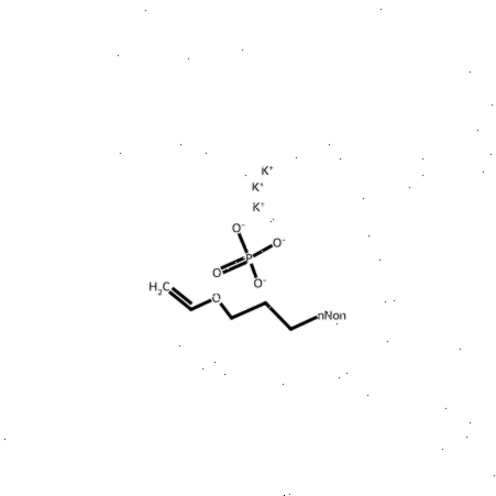 C=COCCCCCCCCCCCC.O=P([O-])([O-])[O-].[K+].[K+].[K+]